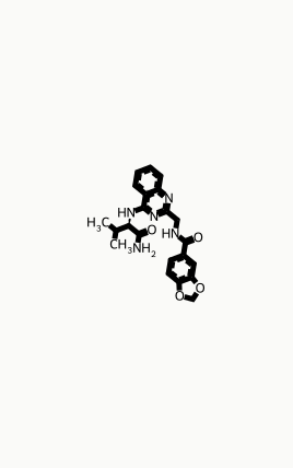 CC(C)[C@H](Nc1nc(CNC(=O)c2ccc3c(c2)OCO3)nc2ccccc12)C(N)=O